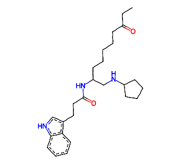 CCC(=O)CCCCCC(CNC1CCCC1)NC(=O)CCc1c[nH]c2ccccc12